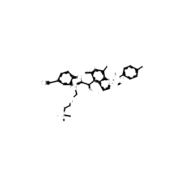 Cc1ccc(S(=O)(=O)n2ccc3c(C(O)c4nc5ccc(C#N)cc5n4COCC[Si](C)(C)C)c(C)cc(C)c32)cc1